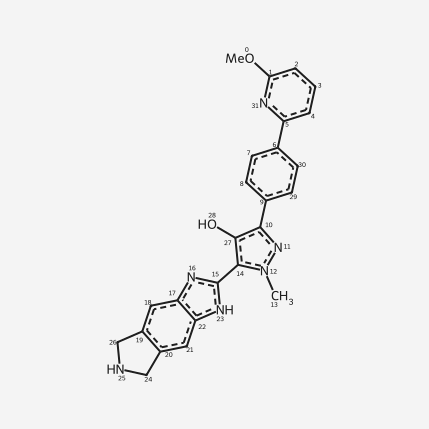 COc1cccc(-c2ccc(-c3nn(C)c(-c4nc5cc6c(cc5[nH]4)CNC6)c3O)cc2)n1